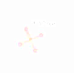 O=P([O-])([O-])[O-].[Fe+2].[Li+].[Si+4]